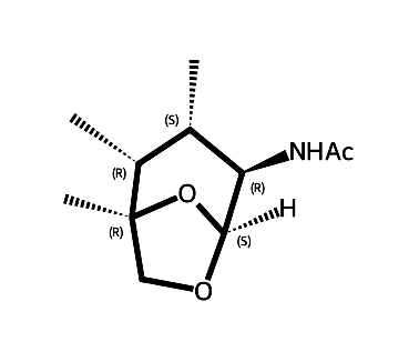 CC(=O)N[C@H]1[C@H]2OC[C@](C)(O2)[C@H](C)[C@@H]1C